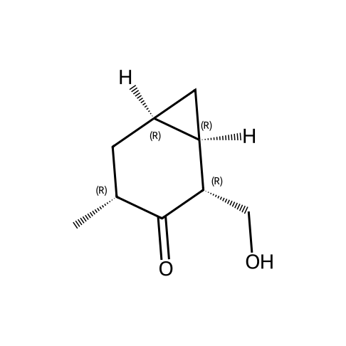 C[C@@H]1C[C@H]2C[C@H]2[C@H](CO)C1=O